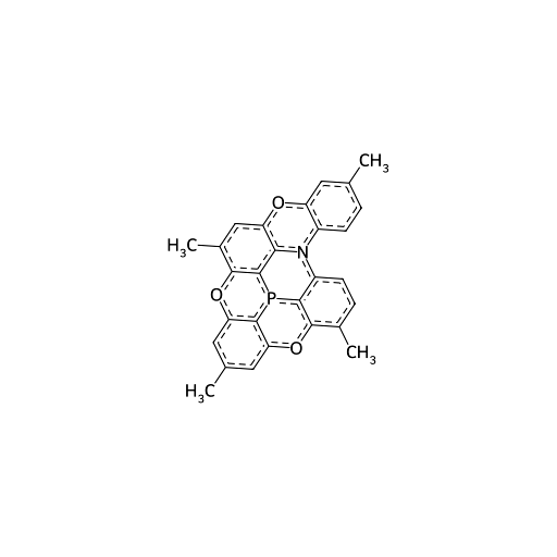 Cc1ccc2c(c1)oc1cc(C)c3oc4cc(C)cc5oc6c(C)ccc7c6p(c54)c3c1n27